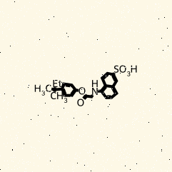 CCC(C)(C)c1ccc(OC(=O)CNc2cccc3cc(S(=O)(=O)O)ccc23)cc1